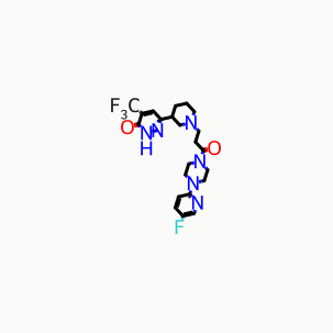 O=C(CCN1CCCC(c2cc(C(F)(F)F)c(=O)[nH]n2)C1)N1CCN(c2ccc(F)cn2)CC1